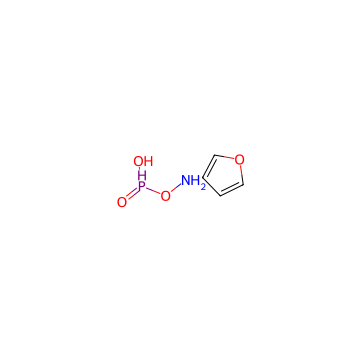 NO[PH](=O)O.c1ccoc1